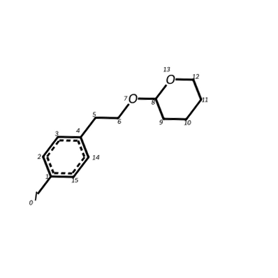 Ic1ccc(CCOC2CCCCO2)cc1